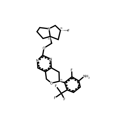 Nc1ccc(C(F)(F)F)c([C@@H]2Cc3nc(OC[C@@]45CCCN4C[C@H](F)C5)ncc3CO2)c1F